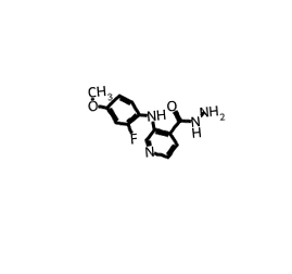 COc1ccc(Nc2cnccc2C(=O)NN)c(F)c1